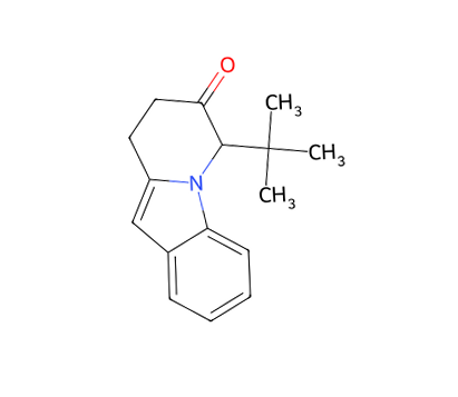 CC(C)(C)C1C(=O)CCc2cc3ccccc3n21